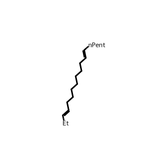 [CH2]CC=CCCCCCCCC=CCCCCC